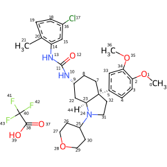 COc1ccc([C@@]23CC[C@@H](NC(=O)Nc4cc(Cl)ccc4C)C[C@@H]2N(C2CCOCC2)CC3)cc1OC.O=C(O)C(F)(F)F